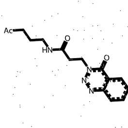 CC(=O)CCCNC(=O)CCn1nnc2ccccc2c1=O